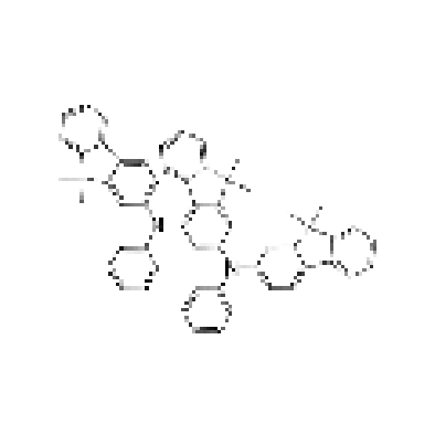 CC1(C)c2ccccc2-c2ccc(N(c3ccccc3)c3cc(N(c4ccccc4)c4ccc5c(c4)C(C)(C)c4ccccc4-5)c4c(c3)C(C)(C)c3ccccc3-4)cc21